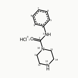 Cl.O=C(Nc1ccccc1)N1CCNCC1